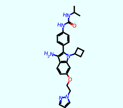 CC(C)NC(=O)Nc1ccc(-c2c(N)c3ccc(OCCn4cccn4)cc3n2C2CCC2)cc1